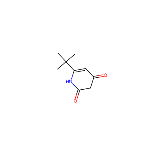 CC(C)(C)C1=CC(=O)CC(=O)N1